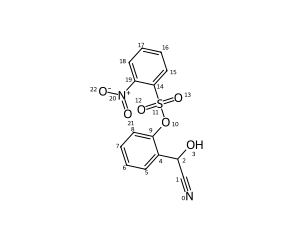 N#CC(O)c1ccccc1OS(=O)(=O)c1ccccc1[N+](=O)[O-]